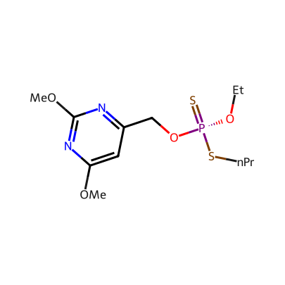 CCCS[P@@](=S)(OCC)OCc1cc(OC)nc(OC)n1